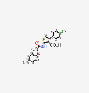 O=C(O)c1c(-c2ccc(Cl)cc2)csc1NC(=O)C1Cc2cc(Cl)ccc2O1